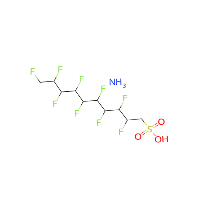 N.O=S(=O)(O)CC(F)C(F)C(F)C(F)C(F)C(F)C(F)C(F)CF